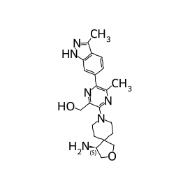 Cc1nc(N2CCC3(CC2)COC[C@H]3N)c(CO)nc1-c1ccc2c(C)n[nH]c2c1